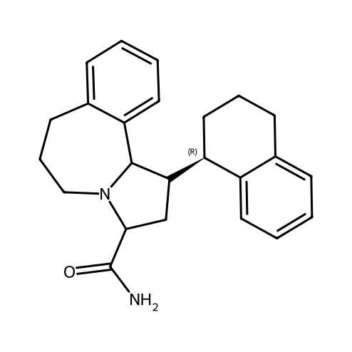 NC(=O)C1CC([C@H]2CCCc3ccccc32)C2c3ccccc3CCCN12